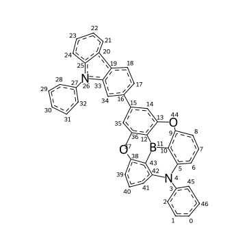 c1ccc(N2c3cccc4c3B3c5c(cc(-c6ccc7c8ccccc8n(-c8ccccc8)c7c6)cc5Oc5cccc2c53)O4)cc1